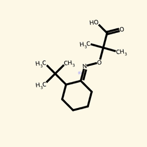 CC(C)(O/N=C1\CCCCC1C(C)(C)C)C(=O)O